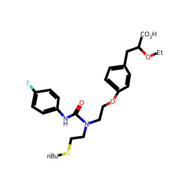 CCCCSCCN(CCOc1ccc(CC(OCC)C(=O)O)cc1)C(=O)Nc1ccc(F)cc1